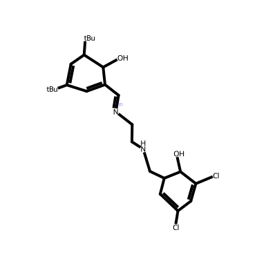 CC(C)(C)C1=CC(C(C)(C)C)C(O)C(/C=N/CCNCC2C=C(Cl)C=C(Cl)C2O)=C1